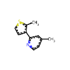 Cc1ccnc(-c2ccsc2C)c1